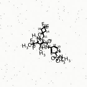 CN=S(C)(=O)c1cc(NC(=O)c2c(C)c(C(C)(F)F)nn2CC2(C)CC(F)(F)C2)ccn1